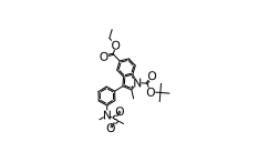 CCOC(=O)c1ccc2c(c1)c(-c1cccc(N(C)S(C)(=O)=O)c1)c(C)n2C(=O)OC(C)(C)C